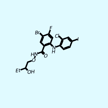 CCC(O)CONC(=O)c1cc(Br)c(F)cc1Nc1ccc(I)cc1Cl